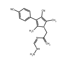 C=C(Cn1c(C)c(C#N)c(-c2ccc(C#N)cc2)c1C)/N=C\NN